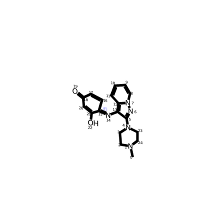 CN1CCN(c2nn3ccccc3c2/N=C2\C=CC(=O)C=C2O)CC1